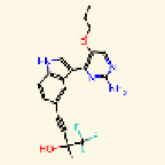 CCCOc1cnc(N)nc1-c1c[nH]c2ccc(C#CC(C)(O)C(F)(F)F)cc12